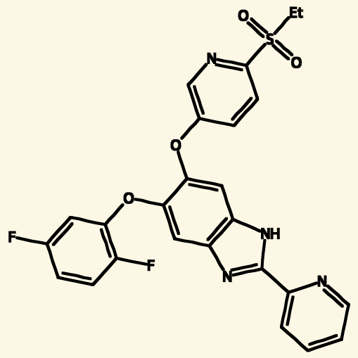 CCS(=O)(=O)c1ccc(Oc2cc3[nH]c(-c4ccccn4)nc3cc2Oc2cc(F)ccc2F)cn1